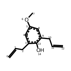 C=CCc1cc(OC)cc(CC=C)c1O